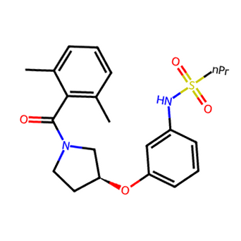 CCCS(=O)(=O)Nc1cccc(O[C@H]2CCN(C(=O)c3c(C)cccc3C)C2)c1